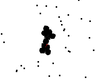 c1ccc(-c2cccc(-c3nc(-c4ccc(-c5ccc(-c6ccccc6-n6c7ccccc7c7ccccc76)cc5)cc4)nc(-c4ccccc4-c4ccccc4)n3)c2)cc1